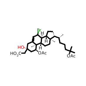 CC(=O)O[C@H]1C[C@@](O)(CC(=O)O)CC2=CC(Br)[C@H]3[C@@H]4CC[C@H]([C@H](C)CCCC(C)(C)OC(C)=O)[C@@]4(C)CC[C@@H]3[C@]21C